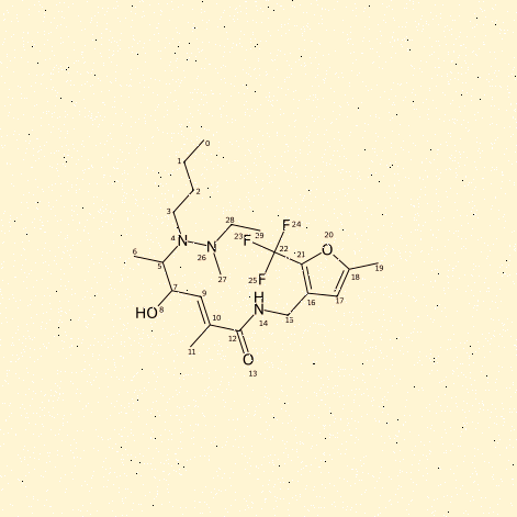 CCCCN(C(C)C(O)C=C(C)C(=O)NCc1cc(C)oc1C(F)(F)F)N(C)CC